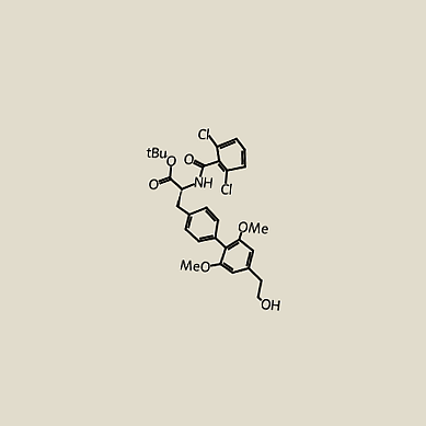 COc1cc(CCO)cc(OC)c1-c1ccc(C[C@H](NC(=O)c2c(Cl)cccc2Cl)C(=O)OC(C)(C)C)cc1